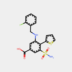 NS(=O)(=O)c1cc(C(=O)O)cc(NCc2ccccc2F)c1-c1cccs1